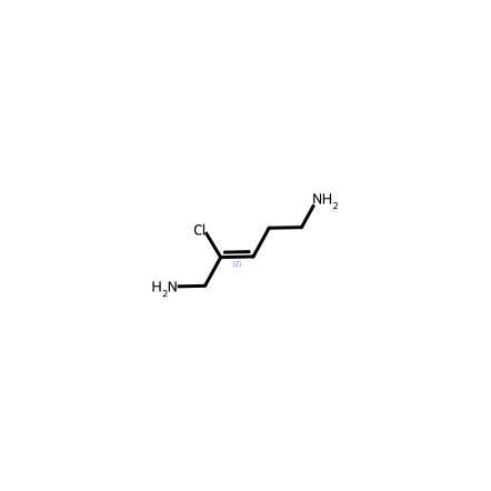 NCC/C=C(\Cl)CN